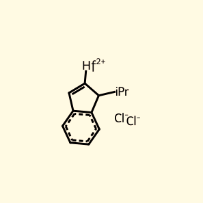 CC(C)C1[C]([Hf+2])=Cc2ccccc21.[Cl-].[Cl-]